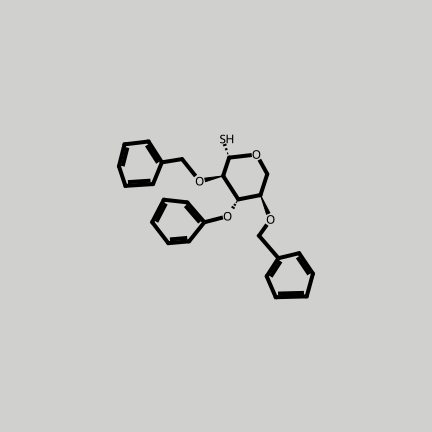 S[C@@H]1OC[C@@H](OCc2ccccc2)[C@H](Oc2ccccc2)[C@H]1OCc1ccccc1